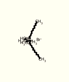 CCCCCCCCCCCCCCOC(CC)(OCCCCCCCCCCCCCC)C(C)[N+](C)(C)O.[Br-]